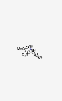 COC(=O)c1ccc2c(c1)/C(=C(/Nc1ccc(N(C)C(=O)CN3CCN(C)CC3)cc1)c1ccc([N+](=O)[O-])cc1)C(=O)N2